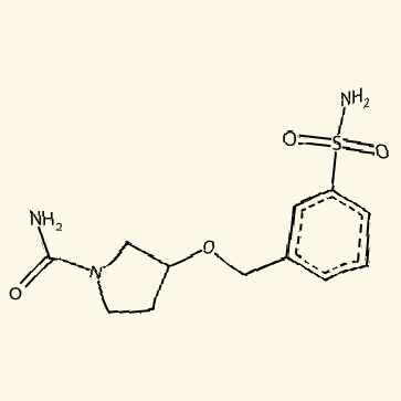 NC(=O)N1CCC(OCc2cccc(S(N)(=O)=O)c2)C1